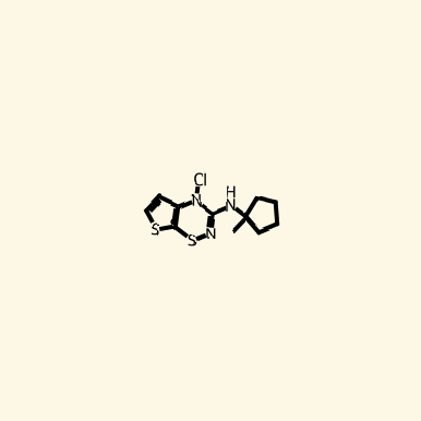 CC1(NC2=NSc3sccc3N2Cl)CCCC1